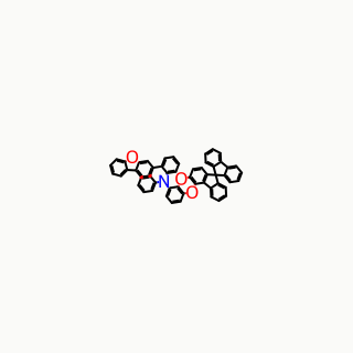 c1ccc(N(c2ccccc2-c2ccc3c(c2)oc2ccccc23)c2cccc3c2Oc2ccc4c(c2O3)-c2ccccc2C42c3ccccc3-c3ccccc32)cc1